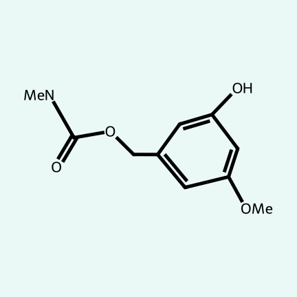 CNC(=O)OCc1cc(O)cc(OC)c1